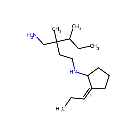 CC/C=C1/CCCC1NCCC(C)(CN)C(C)CC